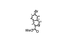 COC(=O)c1cc2ccc(Br)cc2cn1